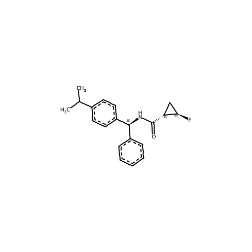 CC(C)c1ccc([C@@H](NC(=O)[C@@H]2C[C@H]2F)c2ccccc2)cc1